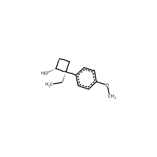 CC[C@@]1(c2ccc(OC)cc2)CC[C@H]1O